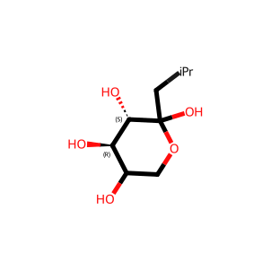 CC(C)CC1(O)OCC(O)[C@@H](O)[C@@H]1O